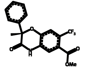 COC(=O)c1cc2c(cc1C(F)(F)F)O[C@@](C)(c1ccccc1)C(=O)N2